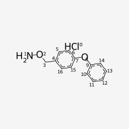 Cl.NOCc1ccc(Oc2ccccc2)cc1